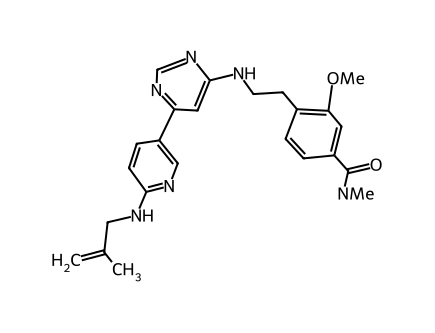 C=C(C)CNc1ccc(-c2cc(NCCc3ccc(C(=O)NC)cc3OC)ncn2)cn1